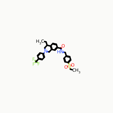 CCC1CN(c2ccc(C(F)(F)F)cc2)Cc2cc(C(=O)NCc3ccc(S(=O)(=O)CC)cc3)ccc21